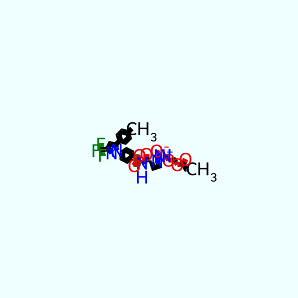 CCC(=O)OCO/N=[N+](/[O-])N1CC[C@H]1C(=O)NS(=O)(=O)c1ccc(-n2nc(C(F)(F)F)cc2-c2ccc(C)cc2)cc1